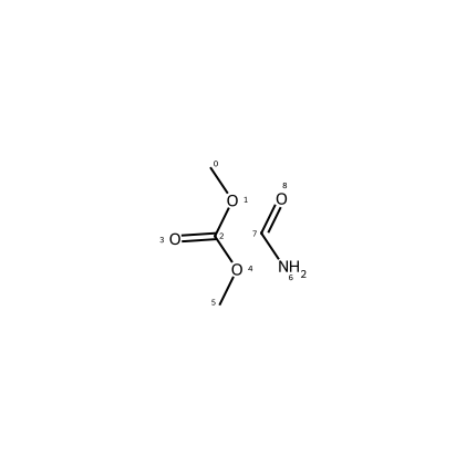 COC(=O)OC.NC=O